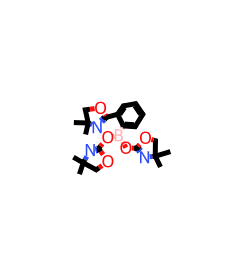 CC1(C)COC(OB(OC2=NC(C)(C)CO2)c2ccccc2C2=NC(C)(C)CO2)=N1